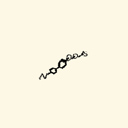 N#Cc1ccc(-c2ccc(OCOCC3CS3)cc2)cc1